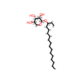 CCCCCCCCCCCCCCC(CC)O[C@H]1OC[C@@H](O)[C@H](O)[C@H]1O